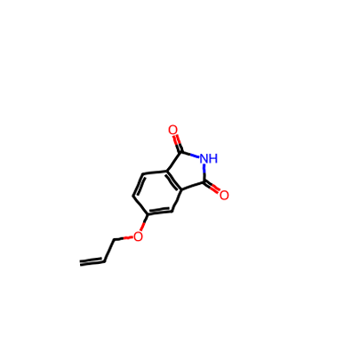 C=CCOc1ccc2c(c1)C(=O)NC2=O